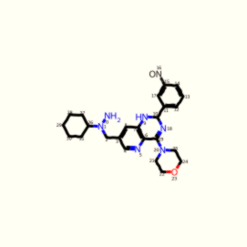 NN(Cc1cnc2c(c1)NC(c1cccc(N=O)c1)N=C2N1CCOCC1)C1CCCCC1